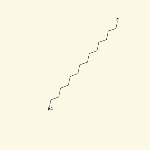 CC(=O)CCCCCCCCCCCCCCF